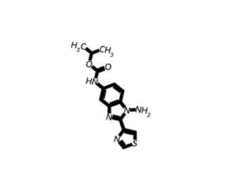 CC(C)OC(=O)Nc1ccc2c(c1)nc(-c1cscn1)n2N